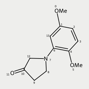 COc1ccc(OC)c(N2CCC(=O)C2)c1